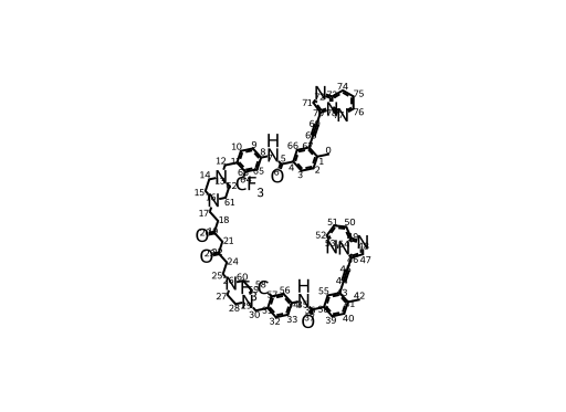 Cc1ccc(C(=O)Nc2ccc(CN3CCN(CCC(=O)CC(=O)CCN4CCN(Cc5ccc(NC(=O)c6ccc(C)c(C#Cc7cnc8cccnn78)c6)cc5C(F)(F)F)CC4)CC3)c(C(F)(F)F)c2)cc1C#Cc1cnc2cccnn12